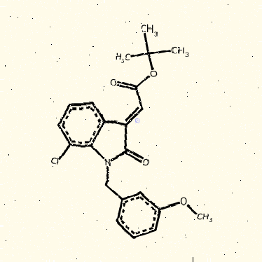 COc1cccc(CN2C(=O)/C(=C/C(=O)OC(C)(C)C)c3cccc(Cl)c32)c1